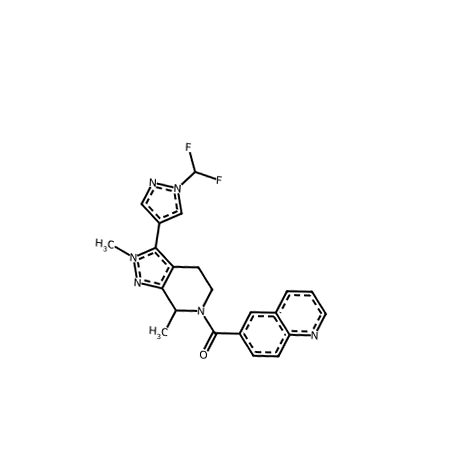 CC1c2nn(C)c(-c3cnn(C(F)F)c3)c2CCN1C(=O)c1ccc2ncccc2c1